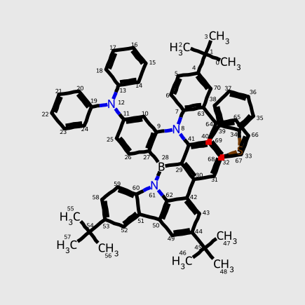 CC(C)(C)c1ccc(N2c3cc(N(c4ccccc4)c4ccccc4)ccc3B3c4c(cc5sc6ccccc6c5c42)-c2cc(C(C)(C)C)cc4c5cc(C(C)(C)C)ccc5n3c24)c(-c2ccccc2)c1